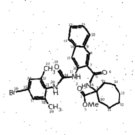 COC(=O)C1(NC(=O)c2cc3ccccc3cc2NC(=O)Nc2c(C)cc(Br)cc2C)CCCCCC1